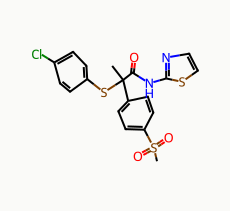 CC(Sc1ccc(Cl)cc1)(C(=O)Nc1nccs1)c1ccc(S(C)(=O)=O)cc1